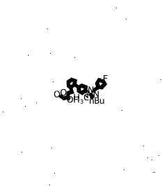 CCCCC1=NC(c2ccc(F)cc2)=N[N+]1(C)c1ccc(-c2ccccc2/C=C2\OC(=O)C=C2O)cc1